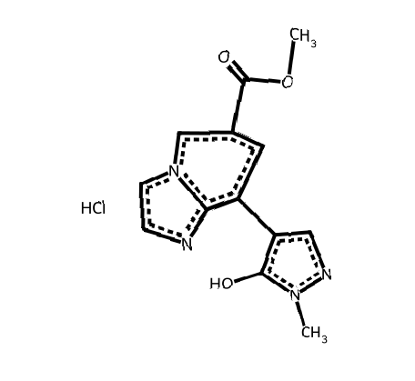 COC(=O)c1cc(-c2cnn(C)c2O)c2nccn2c1.Cl